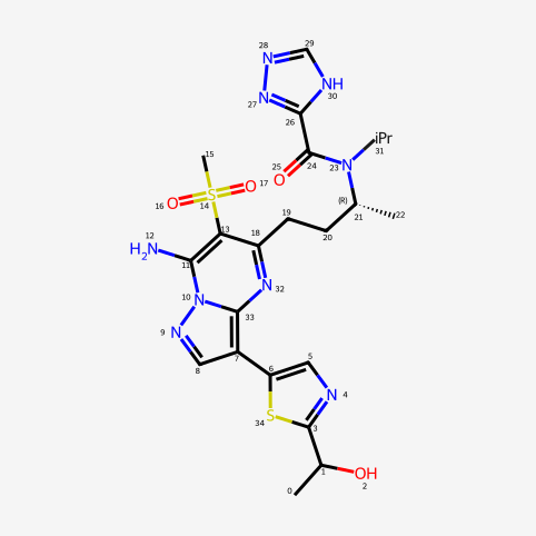 CC(O)c1ncc(-c2cnn3c(N)c(S(C)(=O)=O)c(CC[C@@H](C)N(C(=O)c4nnc[nH]4)C(C)C)nc23)s1